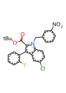 CC(C)(C)OC(=O)c1c(-c2ccccc2F)c2cc(Cl)ccc2n1Cc1cccc([N+](=O)[O-])c1